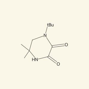 CC1(C)CN(C(C)(C)C)C(=O)C(=O)N1